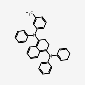 Cc1cccc(N(C2=c3ccccc3=C(N(C3=CCCC=C3)c3ccccc3)CC2)c2ccccc2)c1